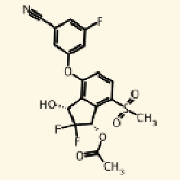 CC(=O)O[C@H]1c2c(S(C)(=O)=O)ccc(Oc3cc(F)cc(C#N)c3)c2[C@@H](O)C1(F)F